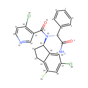 NC(=O)[C@@H](c1ccccc1)N(C(=O)c1cnccc1Cl)[C@@H]1CCc2c(F)cc(Cl)cc21